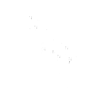 CC[C@@]1(C)CCC[C@@H](N(C)c2ncc(-c3ccc(-n4ccnc4)cc3O)nn2)C1